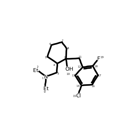 CCN(CC)CC1CCCCC1(O)Cc1cc(Cl)ccc1F